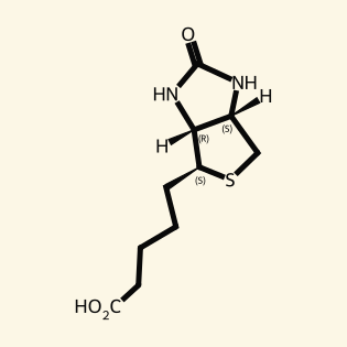 O=C(O)CCCC[C@@H]1SC[C@H]2NC(=O)N[C@@H]12